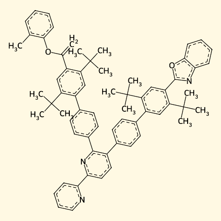 C=C(Oc1ccccc1C)c1cc(C(C)(C)C)c(-c2ccc(-c3nc(-c4ccccn4)ccc3-c3ccc(-c4cc(C(C)(C)C)c(-c5nc6ccccc6o5)cc4C(C)(C)C)cc3)cc2)cc1C(C)(C)C